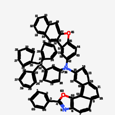 c1ccc(-c2nc3ccc4ccc5ccc(N(c6cccc([Si](c7ccccc7)(c7ccccc7)c7ccccc7)c6)c6ccc7oc8cc9ccccc9cc8c7c6)cc5c4c3o2)cc1